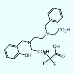 O=C(O)C(F)(F)F.O=C(O)CN(CCN(CC(=O)O)Cc1ccccc1O)Cc1ccccc1